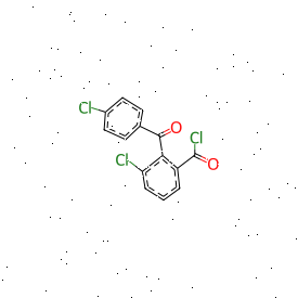 O=C(Cl)c1cccc(Cl)c1C(=O)c1ccc(Cl)cc1